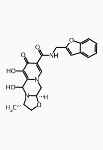 C[C@H]1CO[C@@H]2Cn3cc(C(=O)NCc4cc5ccccc5o4)c(=O)c(O)c3C(O)N12